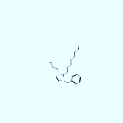 CCCCCCCCC1N(CCCC)C=CN1Cc1ccccc1